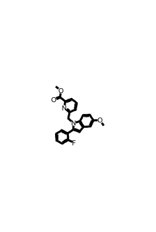 COC(=O)c1cccc(Cn2c(-c3ccccc3F)cc3cc(OC)ccc32)n1